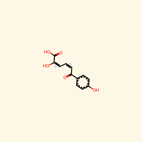 O=C(O)/C(O)=C\C=C/C(=O)c1ccc(O)cc1